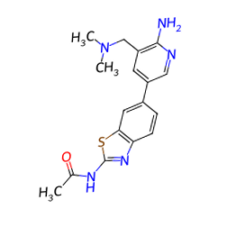 CC(=O)Nc1nc2ccc(-c3cnc(N)c(CN(C)C)c3)cc2s1